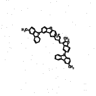 C=C/C(=C\c1c(C)oc2ccc(-n3c4ccccc4c4cc(C)ccc43)cc12)Cc1ccc2oc3ccc(-n4c5c(c6cc(C)ccc64)C=CCC5)cc3c2c1